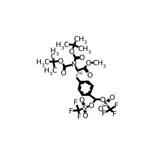 COC(=O)[C@H](Cc1ccc(C(OS(=O)(=O)C(F)(F)F)OS(=O)(=O)C(F)(F)F)cc1)N(C(=O)OC(C)(C)C)C(=O)OC(C)(C)C